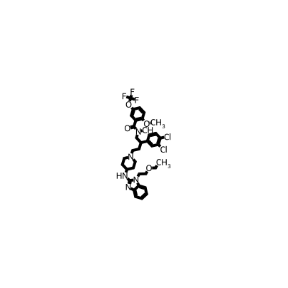 CCOCCn1c(NC2CCN(CCC(CN(C)C(=O)c3cc(OC(F)(F)F)ccc3OC)c3ccc(Cl)c(Cl)c3)CC2)nc2ccccc21